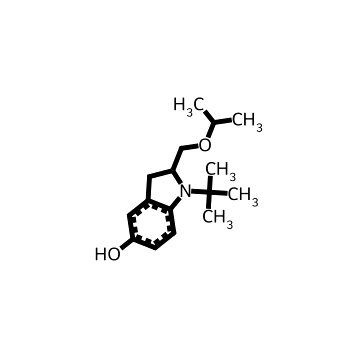 CC(C)OCC1Cc2cc(O)ccc2N1C(C)(C)C